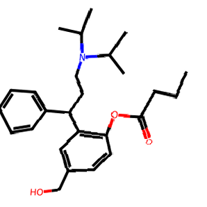 CCCC(=O)Oc1ccc(CO)cc1C(CCN(C(C)C)C(C)C)c1ccccc1